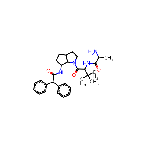 C[C@H](N)C(=O)NC(C(=O)N1CCC2CCC(NC(=O)C(c3ccccc3)c3ccccc3)C21)C(C)(C)C